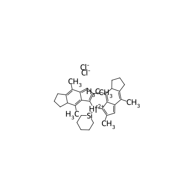 CC1=[C]([Hf+2]([C]2=C(C)C=C3C(C)=C4CCCC4C(C)=C32)=[Si]2CCCCC2)C2=C(C)C3CCCC3=C(C)C2=C1.[Cl-].[Cl-]